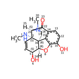 CN[C@@]12C=C[C@H](O)[C@@H]3Oc4c(O)ccc5c4[C@@]31CCN(C)[C@@H]2C5=O